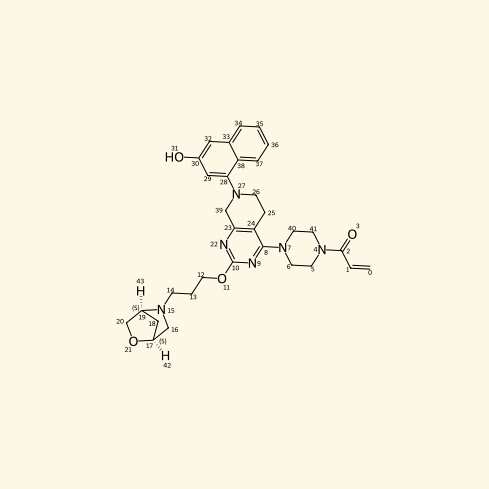 C=CC(=O)N1CCN(c2nc(OCCCN3C[C@@H]4C[C@H]3CO4)nc3c2CCN(c2cc(O)cc4ccccc24)C3)CC1